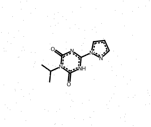 CC(C)n1c(=O)nc(-n2cccn2)[nH]c1=O